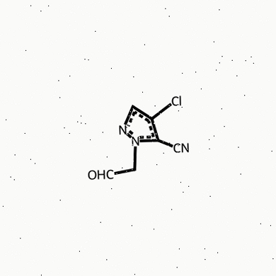 N#Cc1c(Cl)cnn1CC=O